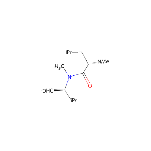 CN[C@@H](CC(C)C)C(=O)N(C)[C@H]([C]=O)C(C)C